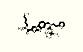 CN(CCCCO)C(=O)c1cn2c(nc3cc(CN(CCC4CCCO4)C(=O)OC(C)(C)C)ccc32)s1